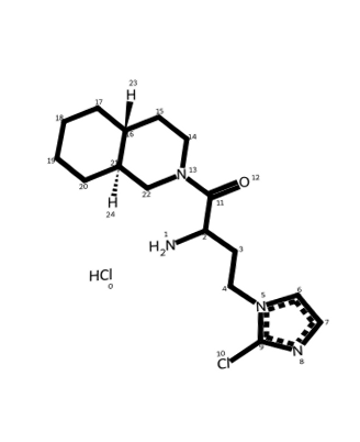 Cl.NC(CCn1ccnc1Cl)C(=O)N1CC[C@H]2CCCC[C@@H]2C1